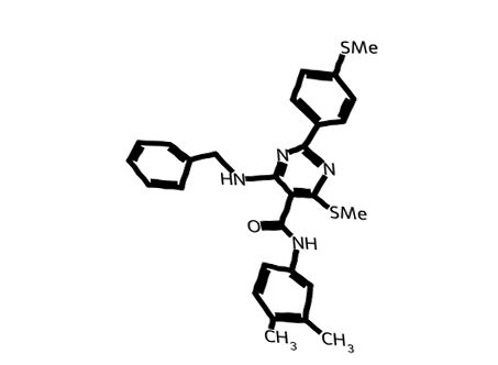 CSc1ccc(-c2nc(NCc3ccccc3)c(C(=O)Nc3ccc(C)c(C)c3)c(SC)n2)cc1